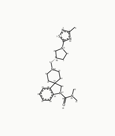 Cc1nsc(N2CC[C@H](CN3CCC4(CC3)CN(C(=O)N(C)C)c3ccccc34)C2)n1